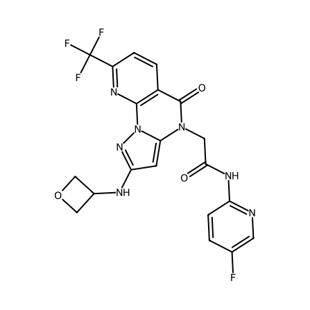 O=C(Cn1c(=O)c2ccc(C(F)(F)F)nc2n2nc(NC3COC3)cc12)Nc1ccc(F)cn1